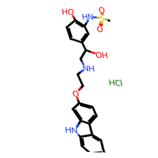 CS(=O)(=O)Nc1cc(C(O)CNCCOc2ccc3c(c2)[nH]c2ccccc23)ccc1O.Cl